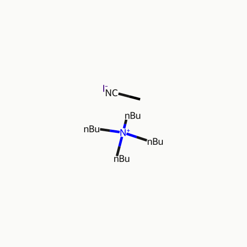 CC#N.CCCC[N+](CCCC)(CCCC)CCCC.[I-]